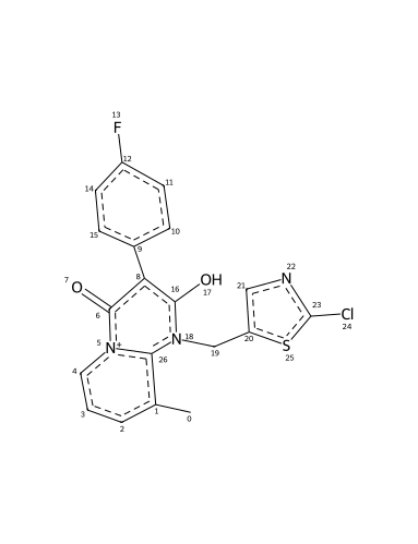 Cc1ccc[n+]2c(=O)c(-c3ccc(F)cc3)c(O)n(Cc3cnc(Cl)s3)c12